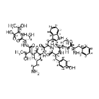 C[C@@H](O)[C@H](NC(=O)[C@H](CS)NC(=O)[C@@H](NC(=O)[C@H](CCCCN)NC(=O)[C@@H](Cc1c[nH]c2ccccc12)NC(=O)[C@H](Cc1ccc(O)cc1)NC(=O)[C@H](CS)NC(=O)[C@@H](N)Cc1ccccc1)[C@@H](C)O)C(=O)O